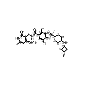 CSc1cc(C)[nH]c(=O)c1CNC(=O)c1cc(Cl)c2c(c1C)O[C@@](C)([C@H]1CC[C@H](N[C@H]3C[C@H](F)C3)CC1)O2